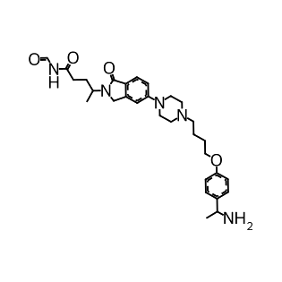 CC(N)c1ccc(OCCCCN2CCN(c3ccc4c(c3)CN(C(C)CCC(=O)NC=O)C4=O)CC2)cc1